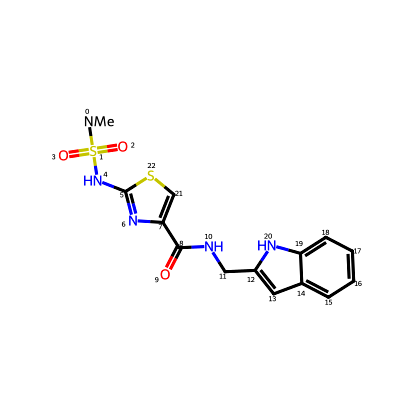 CNS(=O)(=O)Nc1nc(C(=O)NCc2cc3ccccc3[nH]2)cs1